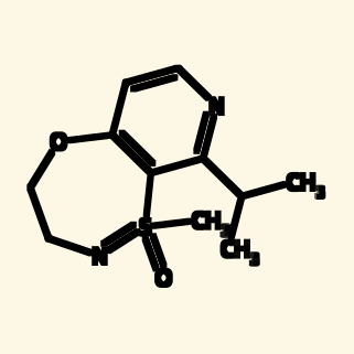 CC(C)c1nccc2c1S(C)(=O)=NCCO2